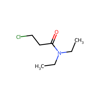 CCN(CC)C(=O)CCCl